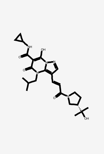 CC(C)Cn1c(=O)c(C(=O)NC2CC2)c(O)n2ncc(/C=C/C(=O)N3CC[C@H](C(C)(C)O)C3)c12